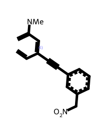 C=C/C(C#Cc1cccc(C[N+](=O)[O-])c1)=C\C(=C)NC